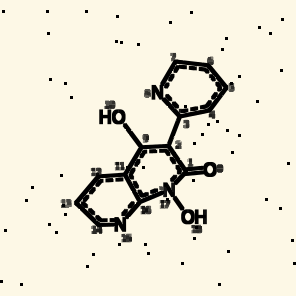 O=c1c(-c2ccccn2)c(O)c2cccnc2n1O